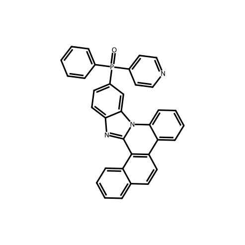 O=P(c1ccccc1)(c1ccncc1)c1ccc2nc3c4c5ccccc5ccc4c4ccccc4n3c2c1